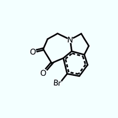 O=C1CCN2CCc3ccc(Br)c(c32)C1=O